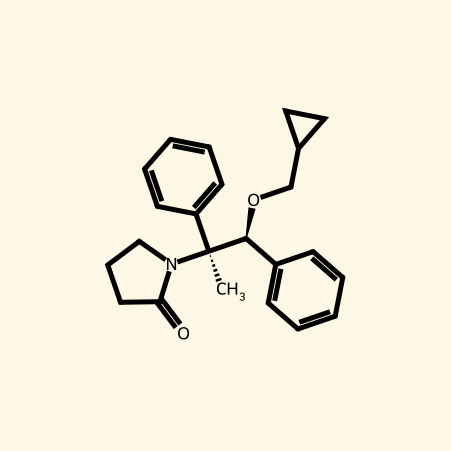 C[C@](c1ccccc1)([C@@H](OCC1CC1)c1ccccc1)N1CCCC1=O